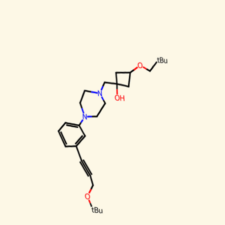 CC(C)(C)COC1CC(O)(CN2CCN(c3cccc(C#CCOC(C)(C)C)c3)CC2)C1